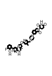 Cc1cc(O[C@H]2CN3c4cc(-c5cccc(F)c5O)nnc4NC[C@@]3(C)C2)ncc1CN1CCN(c2ccc3c(c2)C(=O)N(C2CCC(=O)NC2=O)C3)CC1